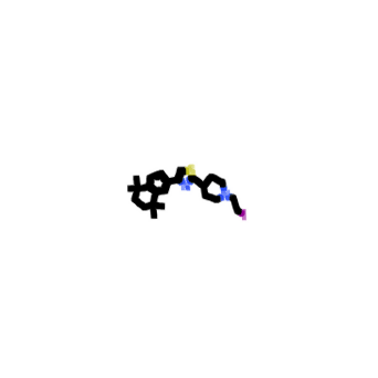 CC1(C)CCC(C)(C)c2cc(-c3csc(C4CCN(CCI)CC4)n3)ccc21